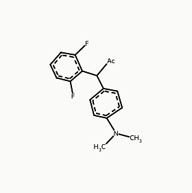 CC(=O)C(c1ccc(N(C)C)cc1)c1c(F)cccc1F